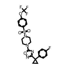 O=S(=O)(c1ccc(OC(F)(F)F)cc1)N1CCN(c2nc(C3(c4ccc(F)cc4)CC3)no2)CC1